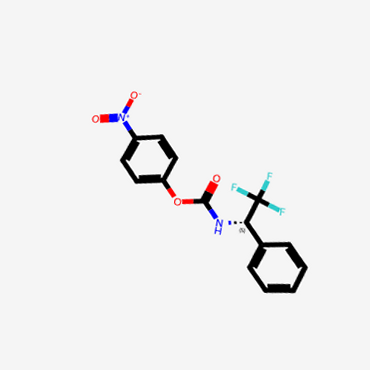 O=C(N[C@@H](c1ccccc1)C(F)(F)F)Oc1ccc([N+](=O)[O-])cc1